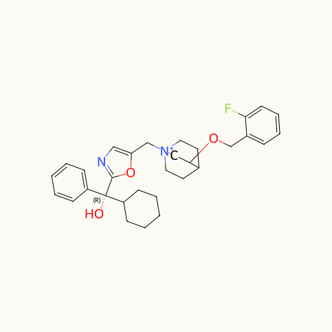 O[C@](c1ccccc1)(c1ncc(C[N+]23CCC(CC2)C(OCc2ccccc2F)C3)o1)C1CCCCC1